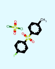 Cc1ccc(S(=O)(=O)c2ccc(F)cc2)cc1.O=S(=O)(Cl)Cl